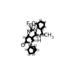 Cc1nc(N[C@@H](C)c2cccc(C(F)(F)F)c2)c2cn(C34CCC(CC3)C4)c(=O)cc2n1